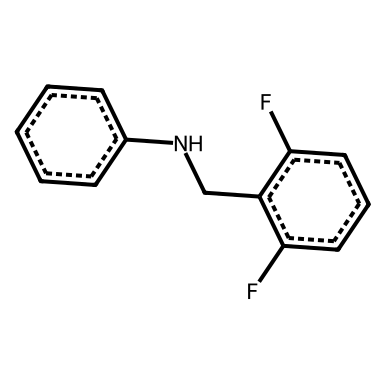 Fc1cccc(F)c1CNc1ccccc1